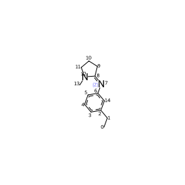 CCc1cccc(/N=C2/CCCN2C)c1